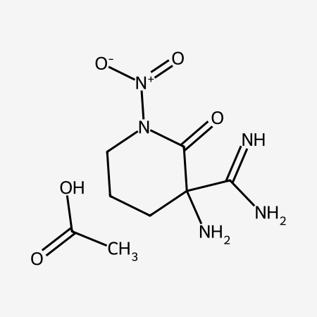 CC(=O)O.N=C(N)C1(N)CCCN([N+](=O)[O-])C1=O